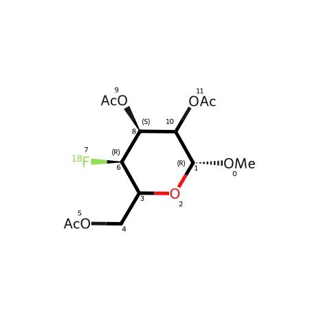 CO[C@@H]1OC(COC(C)=O)[C@@H]([18F])[C@@H](OC(C)=O)C1OC(C)=O